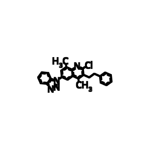 Cc1c(CCc2ccccc2)c(Cl)nc2c(C)cc(-n3nnc4ccccc43)cc12